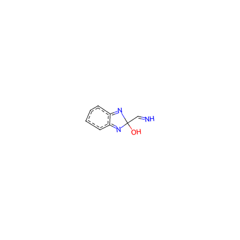 N=CC1(O)N=c2ccccc2=N1